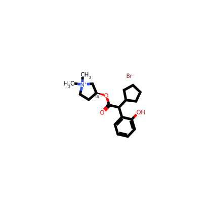 C[N+]1(C)CC[C@H](OC(=O)C(c2ccccc2O)C2CCCC2)C1.[Br-]